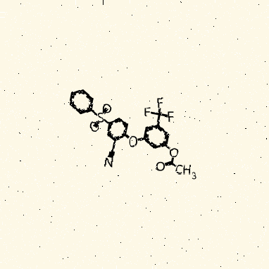 CC(=O)Oc1cc(Oc2ccc(S(=O)(=O)c3ccccc3)cc2C#N)cc(C(F)(F)F)c1